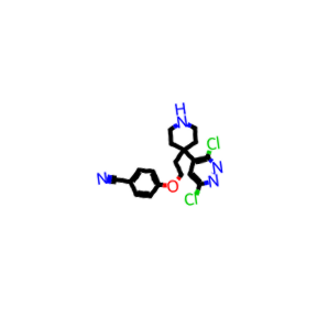 N#Cc1ccc(OCCC2(c3cc(Cl)nnc3Cl)CCNCC2)cc1